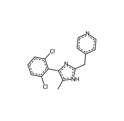 Cc1[nH]c(Cc2ccncc2)nc1-c1c(Cl)cccc1Cl